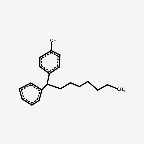 CCCCCCCC(c1ccccc1)c1ccc(O)cc1